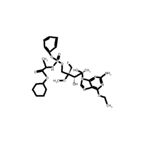 CCOc1nc(N)nc2c1ncn2[C@](C)(O)[C@H](O)[C@@](CF)(COP(=O)(NC(C)C(=O)OC1CCCCC1)Oc1ccccc1)OC